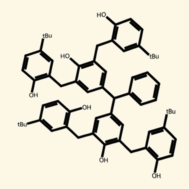 CC(C)(C)c1ccc(O)c(Cc2cc(C(c3ccccc3)c3cc(Cc4cc(C(C)(C)C)ccc4O)c(O)c(Cc4cc(C(C)(C)C)ccc4O)c3)cc(Cc3cc(C(C)(C)C)ccc3O)c2O)c1